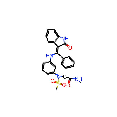 CNC(=O)CN(c1cccc(NC(=C2C(=O)Nc3ccccc32)c2ccccc2)c1)S(C)(=O)=O